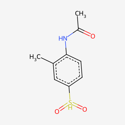 CC(=O)Nc1ccc([SH](=O)=O)cc1C